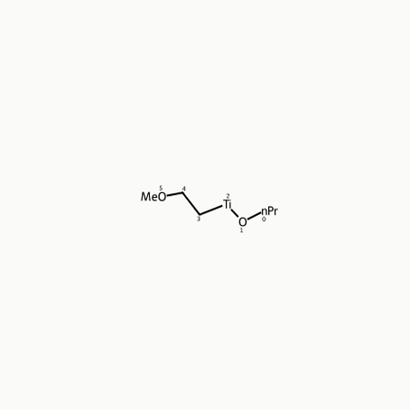 CCC[O][Ti][CH2]COC